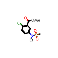 CCN(c1ccc(Cl)c(C(=O)OC)c1)S(C)(=O)=O